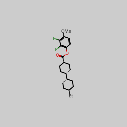 CC[C@H]1CC[C@H]([C@H]2CC[C@H](C(=O)Oc3ccc(OC)c(F)c3F)CC2)CC1